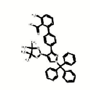 Cc1cccc(-c2ccc(-c3nn(C(c4ccccc4)(c4ccccc4)c4ccccc4)cc3B3OC(C)(C)C(C)(C)O3)cc2)c1C(=O)O